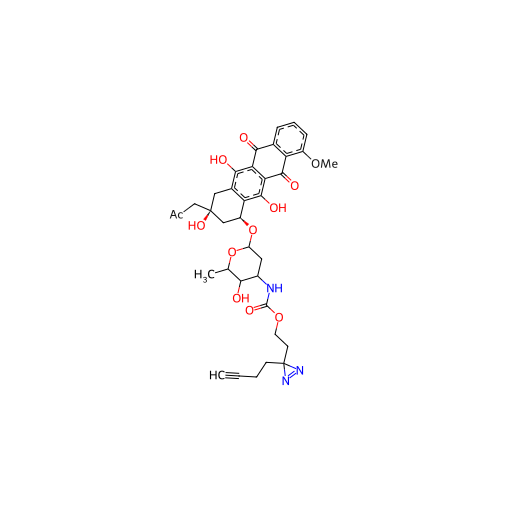 C#CCCC1(CCOC(=O)NC2CC(O[C@H]3C[C@](O)(CC(C)=O)Cc4c(O)c5c(c(O)c43)C(=O)c3c(OC)cccc3C5=O)OC(C)C2O)N=N1